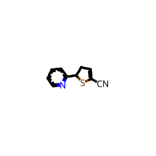 N#CC1=CCC(c2ccccn2)S1